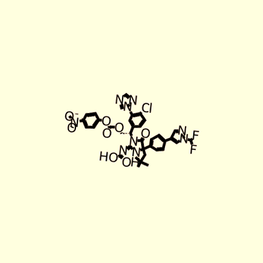 CC(C)(C)CC1(c2ccc(-c3cnn(C(F)F)c3)cc2)NC(=NC(=O)O)N([C@H](COC(=O)Oc2ccc([N+](=O)[O-])cc2)c2ccc(Cl)c(-n3cncn3)c2)C1=O